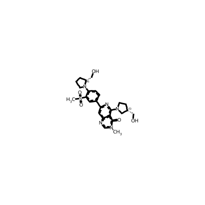 Cn1cnc2cc(-c3ccc(N4CCC[C@@H]4CO)c(S(C)(=O)=O)c3)nc(N3CC[C@H](CO)C3)c2c1=O